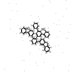 N#Cc1ccccc1-c1cc(-c2ccccc2)cc(-c2c(-c3ccc4oc5ccccc5c4c3)cccc2-c2ccc3sc4ccccc4c3c2)c1